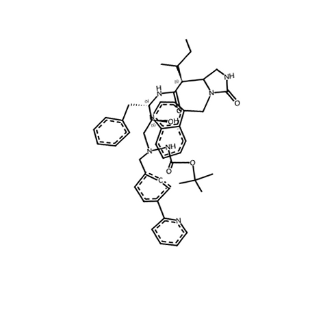 CCC(C)[C@H](C(=O)N[C@@H](Cc1ccccc1)[C@@H](O)CN(Cc1ccc(-c2ccccn2)cc1)NC(=O)OC(C)(C)C)C1CNC(=O)N1Cc1ccnc2ccccc12